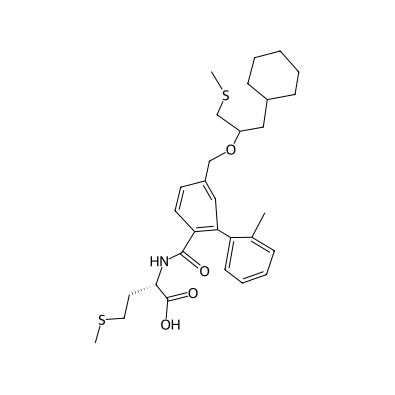 CSCC[C@H](NC(=O)c1ccc(COC(CSC)CC2CCCCC2)cc1-c1ccccc1C)C(=O)O